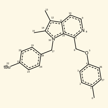 Cc1ccc(OCc2nccc3c(C)c(C)n(Cc4ccc(C(C)(C)C)cc4)c23)cc1